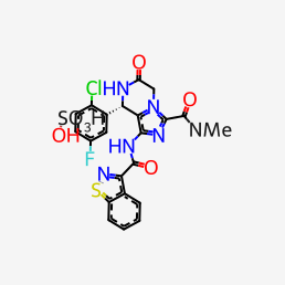 CNC(=O)c1nc(NC(=O)c2nsc3ccccc23)c2n1CC(=O)N[C@H]2c1cc(F)ccc1Cl.O=S(=O)(O)O